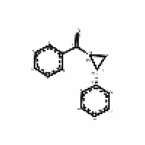 O=C(c1ccccc1)[C@H]1C[C@@H]1c1ccccc1